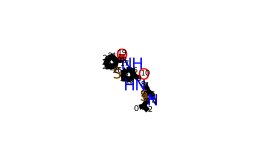 CC(C)c1ncc(CNC(=O)c2ccc3c(c2)NC(=O)c2ccccc2S3)s1